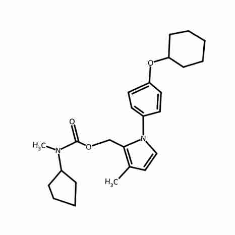 Cc1ccn(-c2ccc(OC3CCCCC3)cc2)c1COC(=O)N(C)C1CCCC1